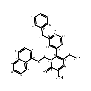 CC(C)Cc1cc(O)c(=O)n(CCc2cccc3ccccc23)c1-c1ccnc(Cc2ccccc2)c1